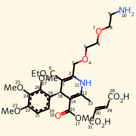 CCOC(=O)C1=C(COCCOCCN)NC(C)=C(C(=O)OC)[C@H]1c1ccc(OC)c(OC)c1OC.O=C(O)/C=C/C(=O)O